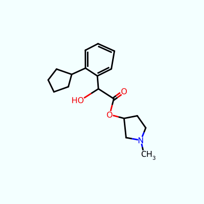 CN1CCC(OC(=O)C(O)c2ccccc2C2CCCC2)C1